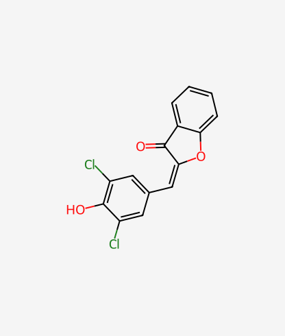 O=C1/C(=C\c2cc(Cl)c(O)c(Cl)c2)Oc2ccccc21